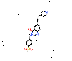 CS(=O)(=O)c1ccc(Cn2cnc3ccc(C#CCc4ccncc4)cc3c2=O)cc1